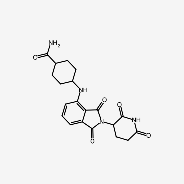 NC(=O)C1CCC(Nc2cccc3c2C(=O)N(C2CCC(=O)NC2=O)C3=O)CC1